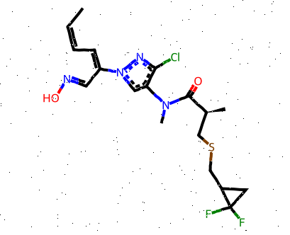 C\C=C/C=C(\C=N\O)n1cc(N(C)C(=O)[C@@H](C)CSCC2CC2(F)F)c(Cl)n1